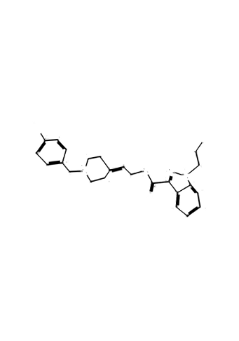 CCCn1nc(C(=O)NCC=C2CCN(Cc3ccc(F)cc3)CC2)c2ccccc21